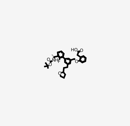 C[C@@H](NC(=O)OC(C)(C)C)c1cccc(-c2cc(CCC3CCCO3)cc(COc3ccccc3CC(=O)O)c2)c1F